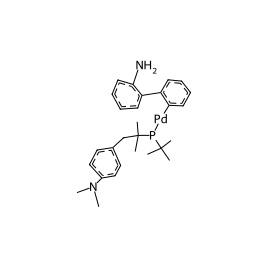 CN(C)c1ccc(CC(C)(C)[P]([Pd][c]2ccccc2-c2ccccc2N)C(C)(C)C)cc1